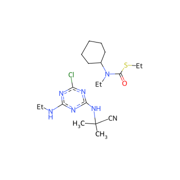 CCNc1nc(Cl)nc(NC(C)(C)C#N)n1.CCSC(=O)N(CC)C1CCCCC1